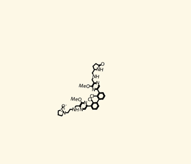 COc1nc(-c2cccc(-c3cccc(-c4cnc(CNCC5CCC(=O)N5)c(OC)n4)c3Cl)c2Cl)cnc1CNCCN1CCC[S+]1[O-]